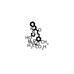 Cc1cc(/C=C/C(=O)c2cc3ccccc3nc2N2CC[C@H](O)C2)cc(C)c1OC(C)(C)C(=O)O